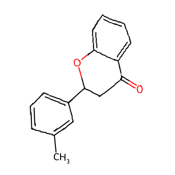 Cc1cccc(C2CC(=O)c3ccccc3O2)c1